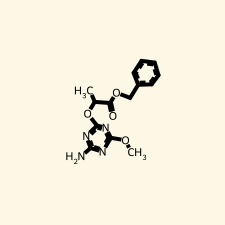 COc1nc(N)nc(OC(C)C(=O)OCc2ccccc2)n1